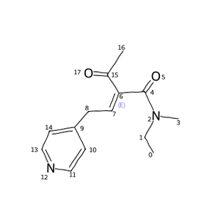 CCN(C)C(=O)/C(=C/Cc1ccncc1)C(C)=O